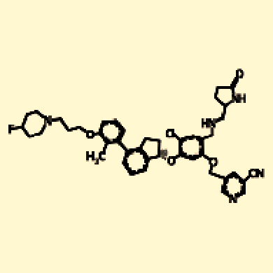 Cc1c(OCCCN2CCC(F)CC2)cccc1-c1cccc2c1CC[C@@H]2Oc1cc(OCc2cncc(C#N)c2)c(CNCC2CCC(=O)N2)cc1Cl